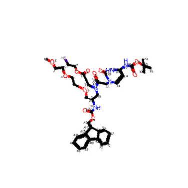 COCCOCCOC[C@@H](CN(CC(=O)OCCI)C(=O)CN1C=CC(NC(=O)OC(C)(C)C)NC1=O)NC(=O)OCC1c2ccccc2-c2ccccc21